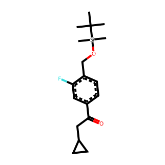 CC(C)(C)[Si](C)(C)OCc1ccc(C(=O)CC2CC2)cc1F